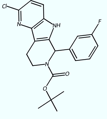 CC(C)(C)OC(=O)N1CCc2c([nH]c3ccc(Cl)nc23)C1c1cccc(F)c1